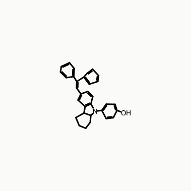 Oc1ccc(N2c3ccc(C=C(c4ccccc4)c4ccccc4)cc3C3CCCCC32)cc1